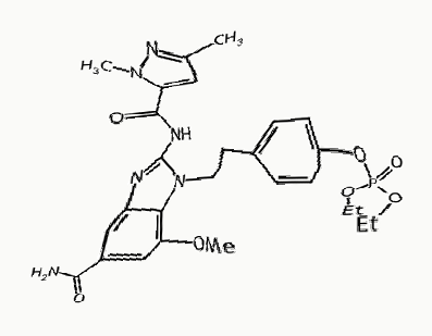 CCOP(=O)(OCC)Oc1ccc(CCn2c(NC(=O)c3cc(C)nn3C)nc3cc(C(N)=O)cc(OC)c32)cc1